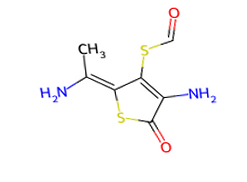 C/C(N)=C1/SC(=O)C(N)=C1SC=O